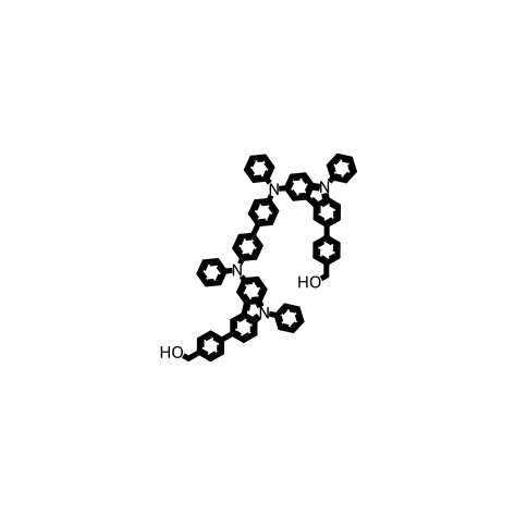 OCc1ccc(-c2ccc3c(c2)c2cc(N(c4ccccc4)c4ccc(-c5ccc(N(c6ccccc6)c6ccc7c(c6)c6cc(-c8ccc(CO)cc8)ccc6n7-c6ccccc6)cc5)cc4)ccc2n3-c2ccccc2)cc1